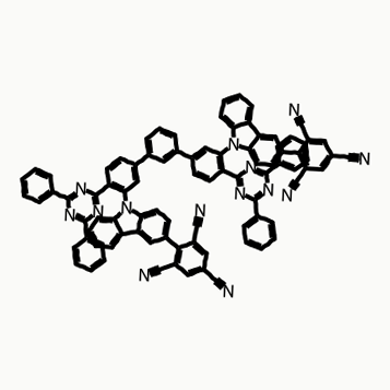 N#Cc1cc(C#N)c(-c2ccc3c(c2)c2ccccc2n3-c2cc(-c3cccc(-c4ccc(-c5nc(-c6ccccc6)nc(-c6ccccc6)n5)c(-n5c6ccccc6c6cc(-c7c(C#N)cc(C#N)cc7C#N)ccc65)c4)c3)ccc2-c2nc(-c3ccccc3)nc(-c3ccccc3)n2)c(C#N)c1